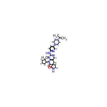 CC(C)N1CCN(c2ccc(NC3N=CC4=C(N3C)N(C3CCCC3)C(=O)C3(CCNC3=O)C4)nc2)CC1